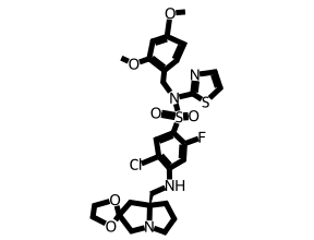 COc1ccc(CN(c2nccs2)S(=O)(=O)c2cc(Cl)c(NC[C@@]34CCCN3CC3(C4)OCCO3)cc2F)c(OC)c1